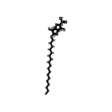 CCCCCCCCCCCCCCCCCCSc1sc2c(C)c([N+](=O)[O-])sc2c1C